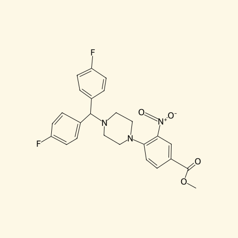 COC(=O)c1ccc(N2CCN(C(c3ccc(F)cc3)c3ccc(F)cc3)CC2)c([N+](=O)[O-])c1